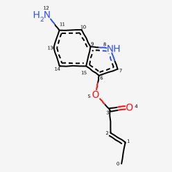 CC=CC(=O)Oc1c[nH]c2cc(N)ccc12